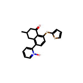 CC1CC(=O)c2c(Sc3cccs3)ccc(-c3cccc[n+]3[O-])c2C1